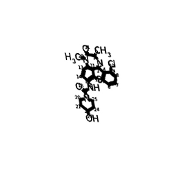 CC1N=C(c2ccccc2Cl)c2c(ccc(NC(=O)N3CCC(O)CC3)c2Br)N(C)C1=O